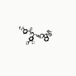 CN(CC(CCN1CCC2(CC1)CN(S(C)(=O)=O)c1ccccc12)c1ccc(Cl)c(Cl)c1)C(=O)c1cccc(C(F)(F)F)c1